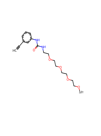 C#Cc1cccc(NC(=O)NCCOCCOCCOCCOCCC)c1